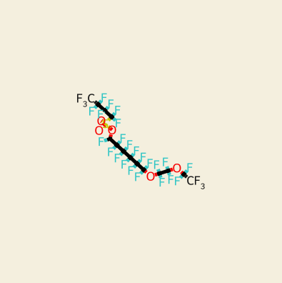 O=S(=O)(OC(F)C(F)(F)C(F)(F)C(F)(F)C(F)(F)C(F)(F)OC(F)(F)C(F)(F)OC(F)(F)C(F)(F)F)C(F)(F)C(F)(F)C(F)(F)C(F)(F)F